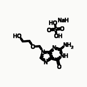 Nc1nc2c(ncn2COCCO)c(=O)[nH]1.O=S(=O)(O)O.[NaH]